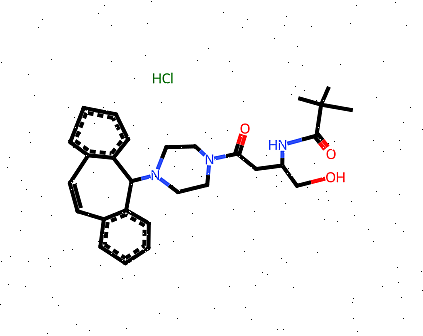 CC(C)(C)C(=O)NC(CO)CC(=O)N1CCN(C2c3ccccc3C=Cc3ccccc32)CC1.Cl